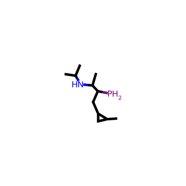 CC(C)NC(C)C(P)CC1CC1C